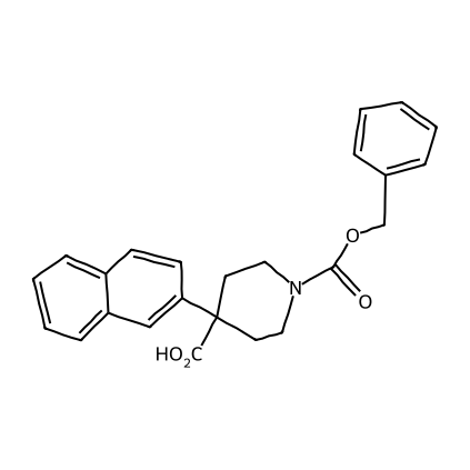 O=C(OCc1ccccc1)N1CCC(C(=O)O)(c2ccc3ccccc3c2)CC1